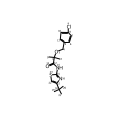 CC(C)(OCc1ccc(Cl)cc1)C(=O)Nc1nc(C(C)(C)C)cs1